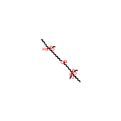 CCCCCCCCC(O)C(CCCCCCCCCCCCOC(=O)CCCCCCCC(OC(=O)CC)C(CCCCCCCC)OC(=O)CC)OC(=O)CC